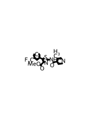 COC(=O)c1nc(NC(=O)c2ccncc2C)sc1-c1cccc(C(F)(F)F)c1